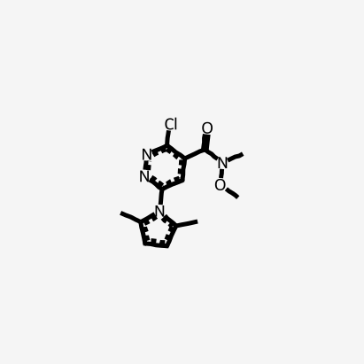 CON(C)C(=O)c1cc(-n2c(C)ccc2C)nnc1Cl